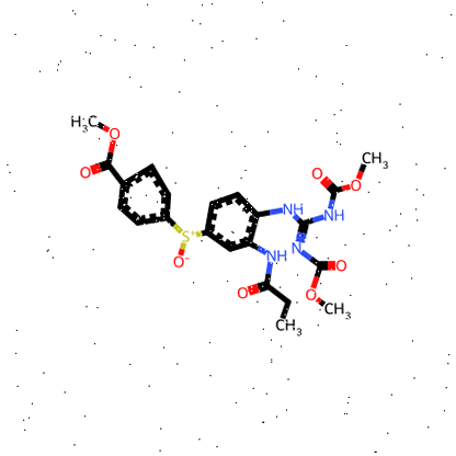 CCC(=O)Nc1cc([S+]([O-])c2ccc(C(=O)OC)cc2)ccc1NC(=NC(=O)OC)NC(=O)OC